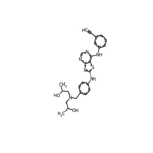 C#Cc1cccc(Nc2ncnc3nc(Nc4ccc(CN(CC(C)O)CC(C)O)cc4)sc23)c1